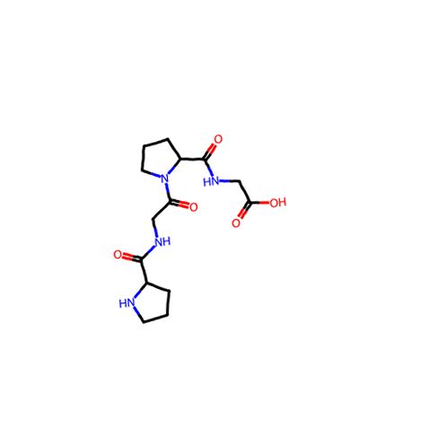 O=C(O)CNC(=O)C1CCCN1C(=O)CNC(=O)C1CCCN1